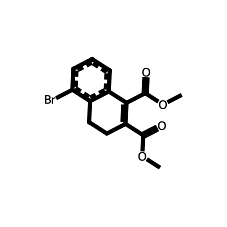 COC(=O)C1=C(C(=O)OC)c2cccc(Br)c2CC1